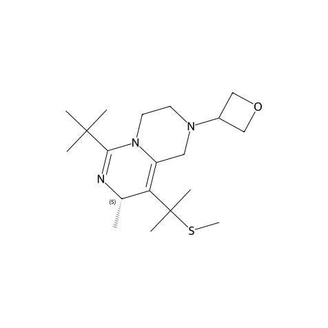 CSC(C)(C)C1=C2CN(C3COC3)CCN2C(C(C)(C)C)=N[C@H]1C